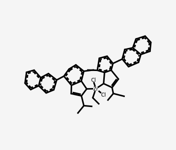 C[CH2][Zr]([Cl])([Cl])([CH]1C(C(C)C)=Cc2c(-c3ccc4ccccc4c3)ccc(C)c21)[CH]1C(C(C)C)=Cc2c(-c3ccc4ccccc4c3)ccc(C)c21